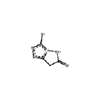 CCc1nnc2n1NC(=O)C2